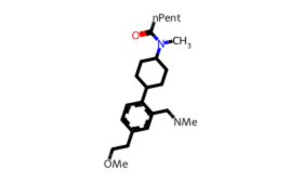 CCCCCC(=O)N(C)C1CCC(c2ccc(CCOC)cc2CNC)CC1